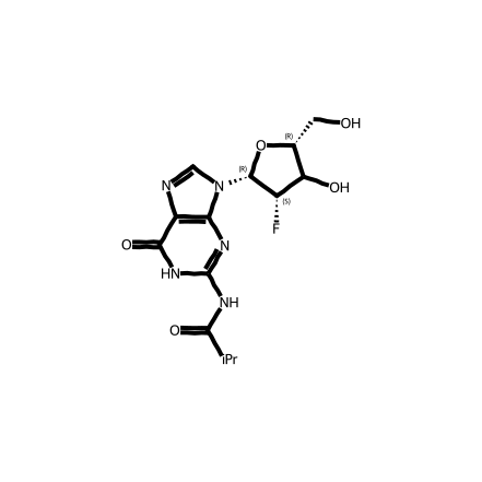 CC(C)C(=O)Nc1nc2c(ncn2[C@@H]2O[C@H](CO)C(O)[C@@H]2F)c(=O)[nH]1